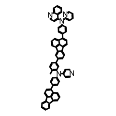 Cc1ccc(-c2ccc3c(c2)-c2cccc4c(-c5ccc(N(c6ccccn6)c6ccnc7ccccc67)cc5)ccc-3c24)cc1N(c1ccncc1)c1ccc(-c2ccc3c4c(cccc24)-c2ccccc2-3)cc1